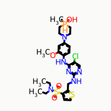 CCN(CC)S(=O)(=O)c1ccsc1CNc1ncc(Cl)c(Nc2ccc(N3CC[PH](C)(O)CC3)cc2OC)n1